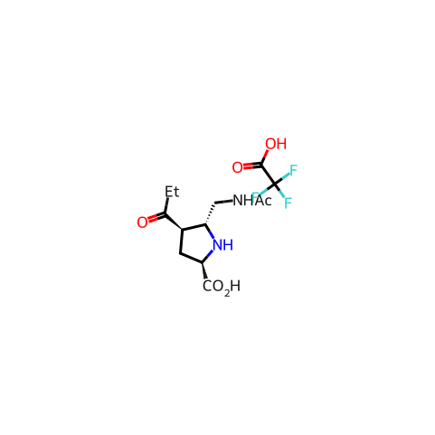 CCC(=O)[C@@H]1C[C@H](C(=O)O)N[C@H]1CNC(C)=O.O=C(O)C(F)(F)F